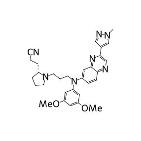 COc1cc(OC)cc(N(CCCN2CCC[C@@H]2CCC#N)c2ccc3ncc(-c4cnn(C)c4)nc3c2)c1